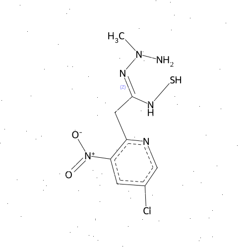 CN(N)/N=C(/Cc1ncc(Cl)cc1[N+](=O)[O-])NS